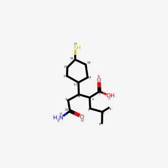 CC(C)CC(C(=O)O)C(CC(N)=O)C1CCC(S)CC1